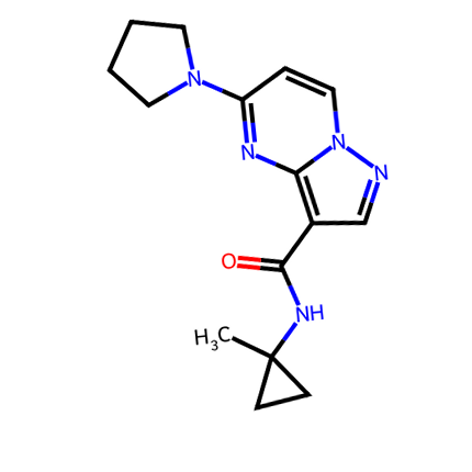 CC1(NC(=O)c2cnn3ccc(N4CCCC4)nc23)CC1